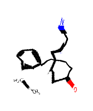 C=C.N#C/C=C/C1(c2ccccc2)CCC(=O)CC1